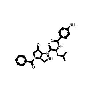 CC(C)C[C@H](NC(=O)c1ccc(N)cc1)C(=O)N1NCC2C1C(=O)CN2C(=O)c1ccccc1